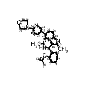 CC(=O)NC(c1ccccc1OC(F)F)c1c(C)nc2ccc(-c3cnc(N4CCOCC4)nc3)cn12